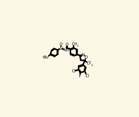 Cc1cc(C2=NOC(c3cc(Cl)c(F)c(Cl)c3)(C(F)(F)F)C2)ccc1C(=O)N[S+]([O-])c1ccc(C(C)(C)C)cc1